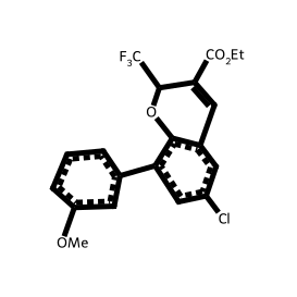 CCOC(=O)C1=Cc2cc(Cl)cc(-c3cccc(OC)c3)c2OC1C(F)(F)F